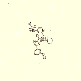 CCOc1cncc(-c2cnc(C(=O)N[C@@H](C[C@@H]3CCCCN3C(C)C)c3cc(NS(=O)(=O)C4CC4)ccn3)s2)n1